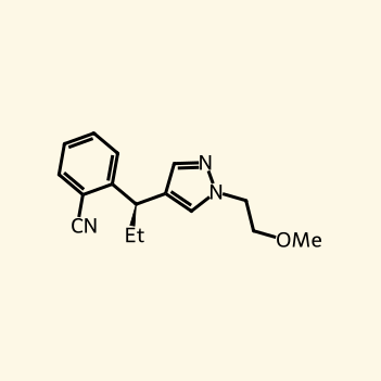 CC[C@H](c1cnn(CCOC)c1)c1ccccc1C#N